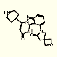 O=C1CC2(COC2)CN1c1cccc2nn3c(C4CCNCC4)cc(=O)[nH]c3c12